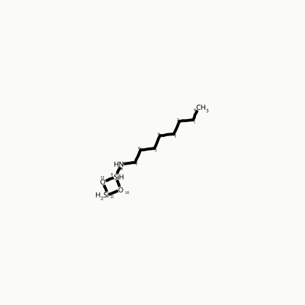 CCCCCCCCN[SiH]1O[SiH2]O1